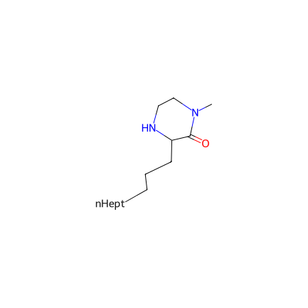 CCCCCCCCCCC1NCCN(C)C1=O